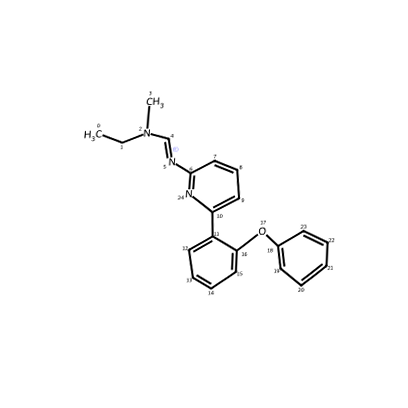 CCN(C)/C=N/c1cccc(-c2ccccc2Oc2ccccc2)n1